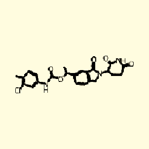 Cc1ccc(NC(=O)OC(C)c2ccc3c(c2)C(=O)N(C2CCC(=O)NC2=O)C3)cc1Cl